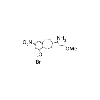 COCCC(N)C1CCc2cc([N+](=O)[O-])cc(OCBr)c2CC1